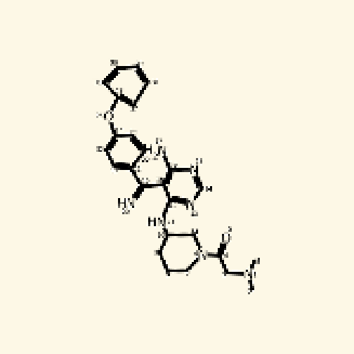 CN(C)CC(=O)N1CCCC(Nc2ncnc(N)c2C(=N)c2ccc(Oc3ccccc3)cc2)C1